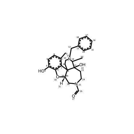 Cc1ccc(O)c2c1C13CCN(Cc4ccccc4)C(C)C1(O)CCN(C=O)C[C@@H]3O2